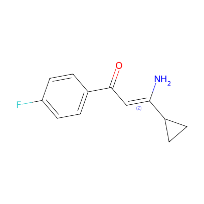 N/C(=C\C(=O)c1ccc(F)cc1)C1CC1